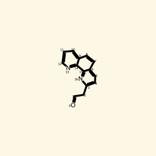 O=CCc1ccc2ccc3cccnc3c2n1